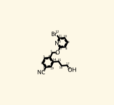 N#Cc1ccc(COc2cccc(Br)n2)c(CCCO)c1